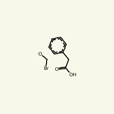 O=C(O)Cc1ccccc1.[O]CBr